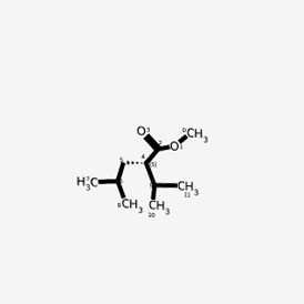 COC(=O)[C@@H](CC(C)C)C(C)C